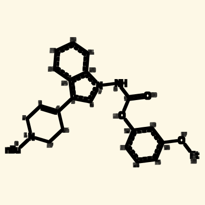 CCCCN1CC=C(c2cn(NC(=O)Oc3cccc(OCC)c3)c3ccccc23)CC1